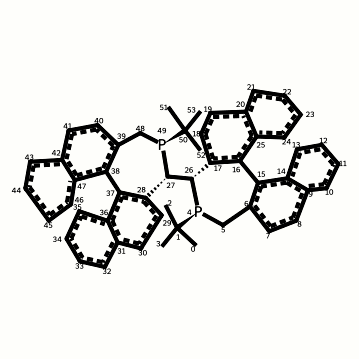 CC(C)(C)[P@]1Cc2ccc3ccccc3c2-c2c(ccc3ccccc23)[C@H]1[C@@H]1c2ccc3ccccc3c2-c2c(ccc3ccccc23)C[P@@]1C(C)(C)C